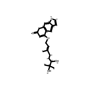 C/C(=C\COC1=CC(=O)Cc2cc3occc3cc21)CCC(O)C(C)(C)O